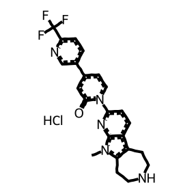 Cl.Cn1c2c(c3ccc(-n4ccc(-c5ccc(C(F)(F)F)nc5)cc4=O)nc31)CCNCC2